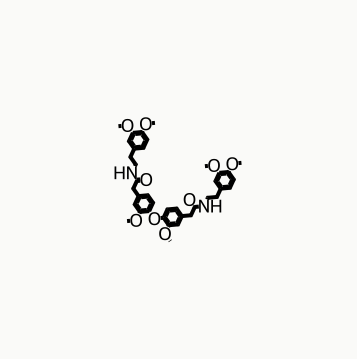 COc1ccc(CCNC(=O)Cc2ccc(Oc3ccc(CC(=O)NCCc4ccc(OC)c(OC)c4)cc3OC)c(OC)c2)cc1OC